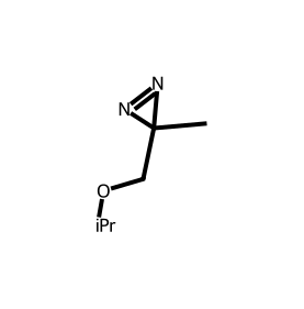 CC(C)OCC1(C)N=N1